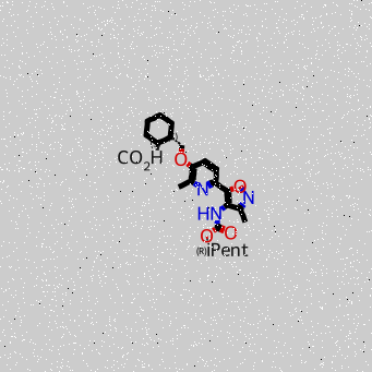 CCC[C@@H](C)OC(=O)Nc1c(C)noc1-c1ccc(OC[C@H]2CCCC[C@@H]2C(=O)O)c(C)n1